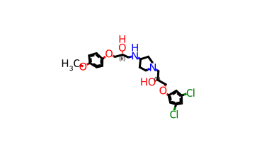 COc1ccc(OC[C@H](O)CNC2CCN(C[C@@H](O)COc3cc(Cl)cc(Cl)c3)CC2)cc1